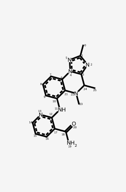 Cc1nc2n(n1)-c1cccc(Nc3ncccc3C(N)=O)c1N(C)C2C